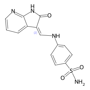 NS(=O)(=O)c1ccc(N/C=C2\C(=O)Nc3ncccc32)cc1